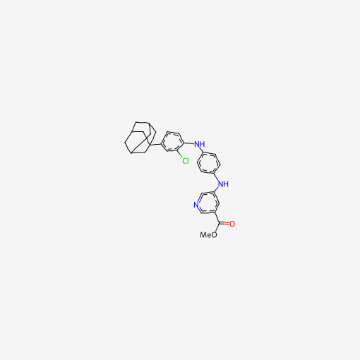 COC(=O)c1cncc(Nc2ccc(Nc3ccc(C45CC6CC(CC(C6)C4)C5)cc3Cl)cc2)c1